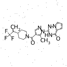 C=C(C1CCN(C(=O)c2cnn(-c3nn4cccc4c(=O)[nH]3)c2C)CC1)C(F)(F)F